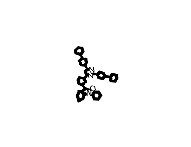 c1ccc(-c2ccc(-c3cc(-c4cccc(-c5c6ccccc6n6c5oc5ccccc56)c4)nc(-c4ccc(-c5ccccc5)cc4)n3)cc2)cc1